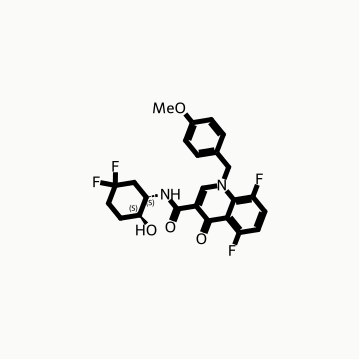 COc1ccc(Cn2cc(C(=O)N[C@H]3CC(F)(F)CC[C@@H]3O)c(=O)c3c(F)ccc(F)c32)cc1